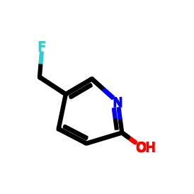 Oc1ccc(CF)cn1